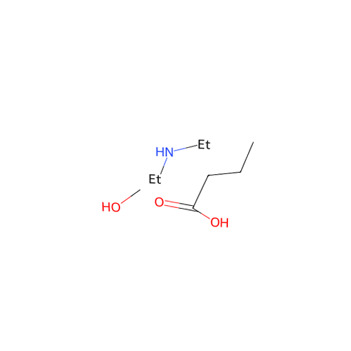 CCCC(=O)O.CCNCC.CO